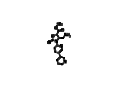 CC(C)(C)OC(=O)C1OC(=O)N(c2ccc(-c3cccnc3)cn2)C1CN